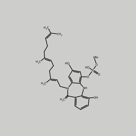 C=C1c2cccc(O)c2Nc2c(OP(=O)(O)OCCCC)cc(O)cc2N1C/C=C(\C)CC/C=C(\C)CCC=C(C)C